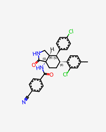 Cc1ccc([C@@H]2CC[C@@]3(NC(=O)c4ccc(C#N)cc4)C(=O)NC[C@H]3[C@H]2c2ccc(Cl)cc2)c(Cl)c1